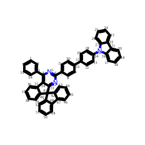 c1ccc(-c2nc(-c3ccc(-c4ccc(-n5c6ccccc6c6ccccc65)cc4)cc3)nc3c2-c2ccccc2C32c3ccccc3-c3ccccc32)cc1